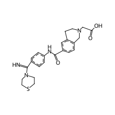 N=C(c1ccc(NC(=O)c2ccc3c(c2)CCN(CC(=O)O)C3)cc1)N1CCSCC1